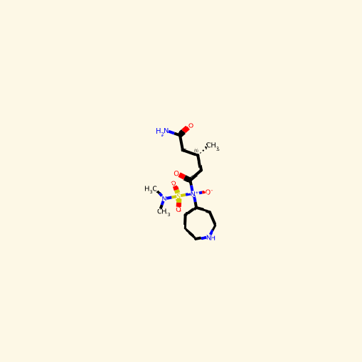 C[C@@H](CC(N)=O)CC(=O)[N+]([O-])(C1CCCNCC1)S(=O)(=O)N(C)C